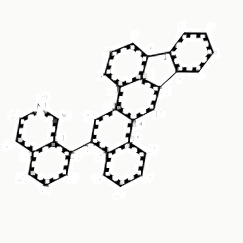 c1ccc2c(c1)-c1cccc3c1c-2cc1c2ccccc2c(-c2cccc4ccncc24)cc31